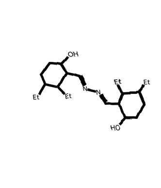 CCC1CCC(O)C(C=NN=CC2C(O)CCC(CC)C2CC)C1CC